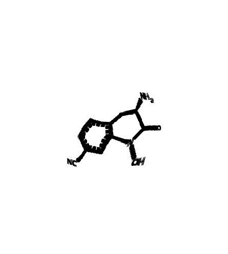 N#Cc1ccc2c(c1)N(O)C(=O)[C@H](N)C2